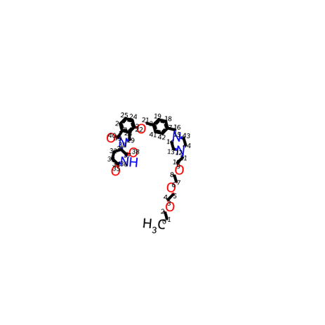 CCCOCCOCCOCCN1CCN(Cc2ccc(COc3cccc4c3CN(C3CCC(=O)NC3=O)C4=O)cc2)CC1